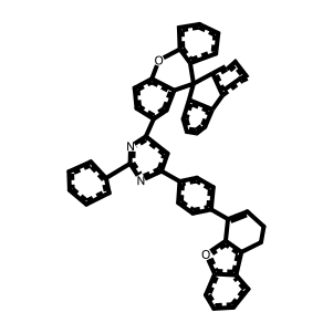 C1=C(c2ccc(-c3cc(-c4ccc5c(c4)C4(c6ccccc6O5)c5ccccc5-c5ccccc54)nc(-c4ccccc4)n3)cc2)c2oc3ccccc3c2CC1